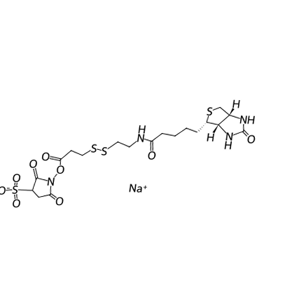 O=C(CCCC[C@@H]1SC[C@@H]2NC(=O)N[C@@H]21)NCCSSCCC(=O)ON1C(=O)CC(S(=O)(=O)[O-])C1=O.[Na+]